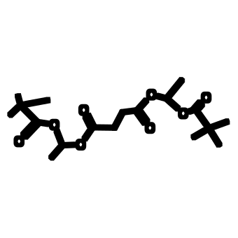 CC(OC(=O)CCC(=O)OC(C)OC(=O)C(C)(C)C)OC(=O)C(C)(C)C